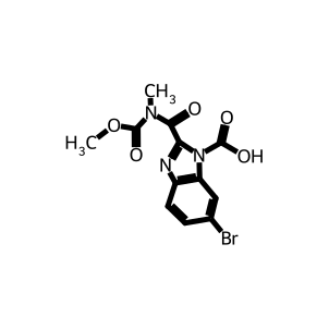 COC(=O)N(C)C(=O)c1nc2ccc(Br)cc2n1C(=O)O